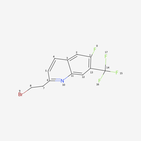 Fc1cc2ccc(CCBr)nc2cc1C(F)(F)F